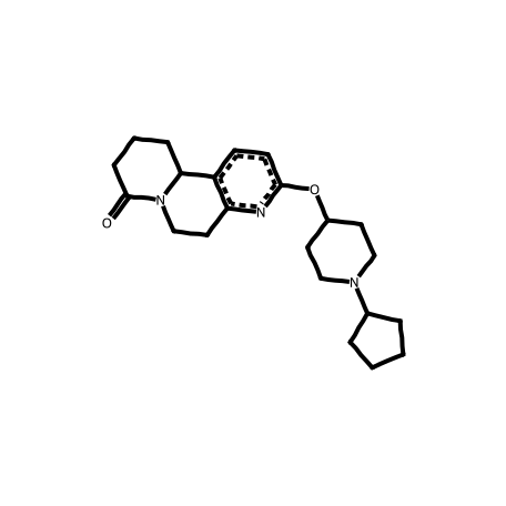 O=C1CCCC2c3ccc(OC4CCN(C5CCCC5)CC4)nc3CCN12